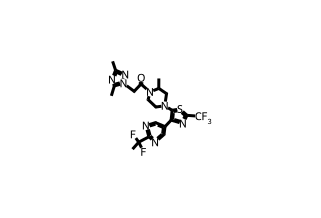 Cc1nc(C)n(CC(=O)N2CCN(c3sc(C(F)(F)F)nc3-c3cnc(C(C)(F)F)nc3)CC2C)n1